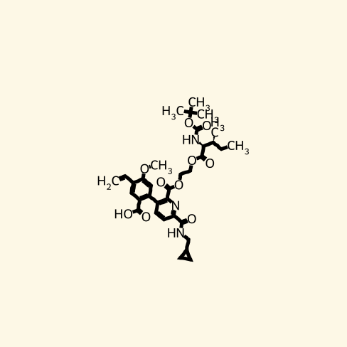 C=Cc1cc(C(=O)O)c(-c2ccc(C(=O)NCC3CC3)nc2C(=O)OCCOC(=O)[C@@H](NC(=O)OC(C)(C)C)[C@H](C)CC)cc1OC